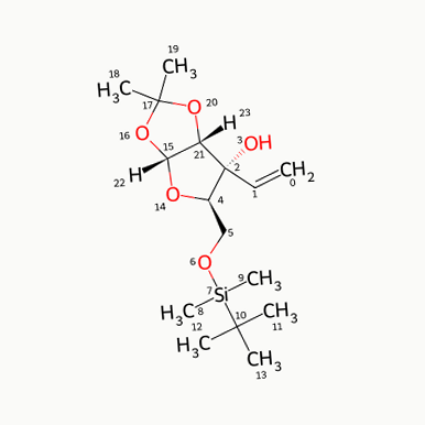 C=C[C@@]1(O)[C@@H](CO[Si](C)(C)C(C)(C)C)O[C@@H]2OC(C)(C)O[C@@H]21